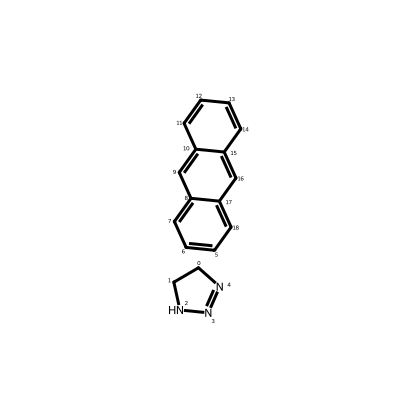 C1CNN=N1.c1ccc2cc3ccccc3cc2c1